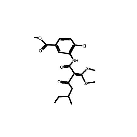 CCC(C)CC(=O)C(C(=O)Nc1cc(C(=O)OC)ccc1Cl)=C(SC)SC